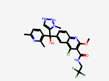 COc1nc2ccc(C(O)(C3=CNNN3C)c3ccc(C)nc3C)cc2c(Cl)c1C(=O)NCC(F)(F)F